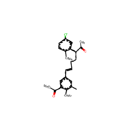 COC(=O)c1cc(C=CCCC(C(=O)OC)c2cc(Cl)ccc2OC)cc(C)c1OC